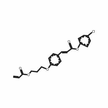 C=CC(=O)OCCCOc1ccc(C=CC(=O)Oc2ccc(Cl)cc2)cc1